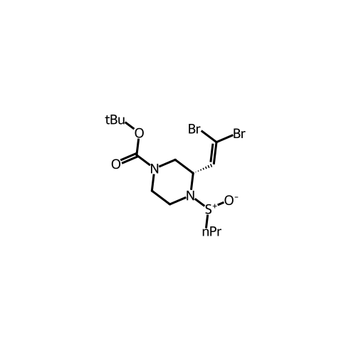 CCC[S+]([O-])N1CCN(C(=O)OC(C)(C)C)C[C@@H]1C=C(Br)Br